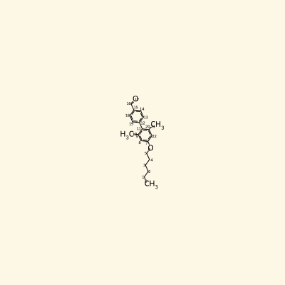 CCCCCCOc1cc(C)c(-c2ccc(C=O)cc2)c(C)c1